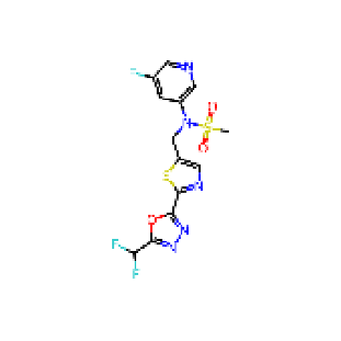 CS(=O)(=O)N(Cc1cnc(-c2nnc(C(F)F)o2)s1)c1cncc(F)c1